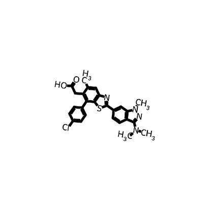 Cc1cc2nc(-c3ccc4c(N(C)C)nn(C)c4c3)sc2c(-c2ccc(Cl)cc2)c1CC(=O)O